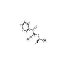 CC(=O)CN(C#N)C(=O)c1ccccc1